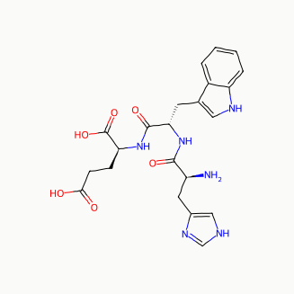 N[C@@H](Cc1c[nH]cn1)C(=O)N[C@@H](Cc1c[nH]c2ccccc12)C(=O)N[C@@H](CCC(=O)O)C(=O)O